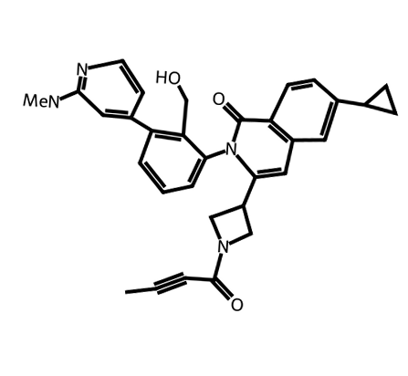 CC#CC(=O)N1CC(c2cc3cc(C4CC4)ccc3c(=O)n2-c2cccc(-c3ccnc(NC)c3)c2CO)C1